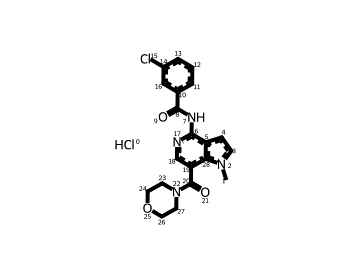 Cl.Cn1ccc2c(NC(=O)c3cccc(Cl)c3)ncc(C(=O)N3CCOCC3)c21